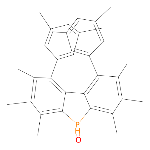 Cc1cc(C)cc(-c2c(C)c(C)c(C)c3c2-c2c(-c4cc(C)cc(C)c4)c(C)c(C)c(C)c2[PH]3=O)c1